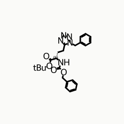 CC(C)(C)OC(=O)[C@H](CCc1nnnn1Cc1ccccc1)NC(=O)OCc1ccccc1